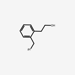 CC(C)Cc1ccccc1CCO